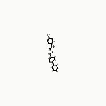 O=C(Nc1ccc(F)cc1)OCC1CCC(C2C=CC=CC2)CC1